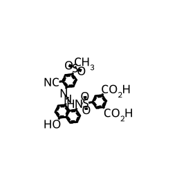 CS(=O)(=O)c1ccc(/N=N/c2ccc(O)c3cccc(NS(=O)(=O)c4cc(C(=O)O)cc(C(=O)O)c4)c23)c(C#N)c1